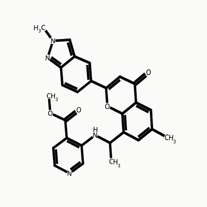 COC(=O)c1ccncc1NC(C)c1cc(C)cc2c(=O)cc(-c3ccc4nn(C)cc4c3)oc12